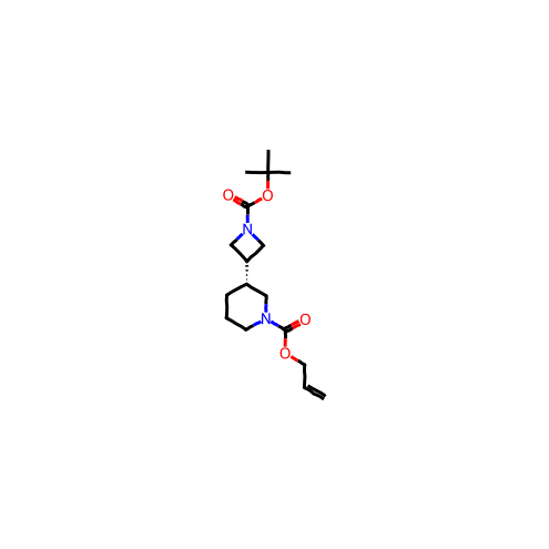 C=CCOC(=O)N1CCC[C@H](C2CN(C(=O)OC(C)(C)C)C2)C1